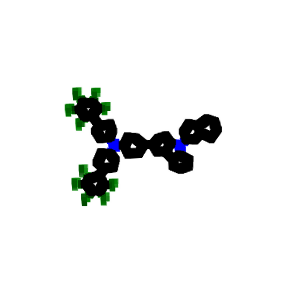 Fc1c(F)c(F)c(-c2ccc(N(c3ccc(-c4ccc5c(c4)c4ccccc4n5-c4ccc5ccccc5c4)cc3)c3ccc(-c4c(F)c(F)c(F)c(F)c4F)cc3)cc2)c(F)c1F